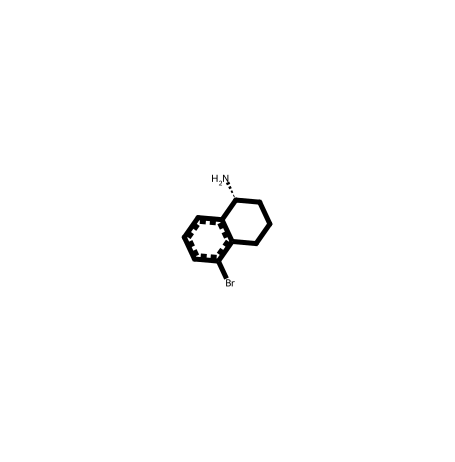 N[C@@H]1CCCc2c(Br)cccc21